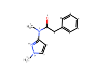 CN(C(=O)Cc1ccccc1)c1ccn(C)n1